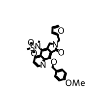 COc1ccc(COc2c3c(c(N(C)S(C)(=O)=O)c4cccnc24)CN(Cc2ccco2)C3=O)cc1